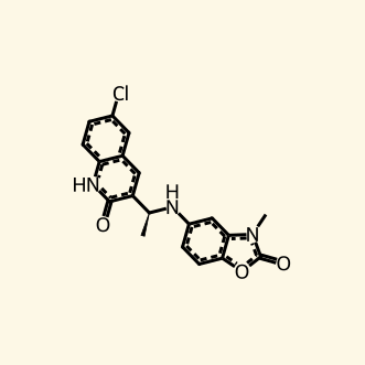 C[C@H](Nc1ccc2oc(=O)n(C)c2c1)c1cc2cc(Cl)ccc2[nH]c1=O